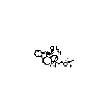 COC(=O)[C@@]12C[C@@H]3C[C@H](CCOC(F)(F)F)C1N(CCc1c2[nH]c2ccccc12)C3